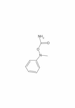 CN(OC(N)=O)c1ccccc1